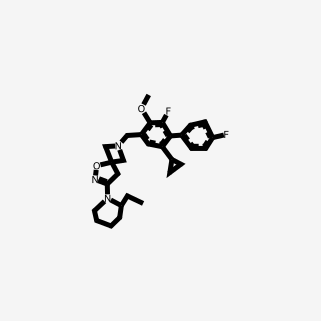 CCC1CCCCN1C1=NOC2(C1)CN(Cc1cc(C3CC3)c(-c3ccc(F)cc3)c(F)c1OC)C2